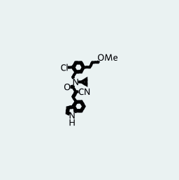 COCCCc1ccc(Cl)c(CN(C(=O)/C(C#N)=C/c2cccc3[nH]ccc23)C2CC2)c1